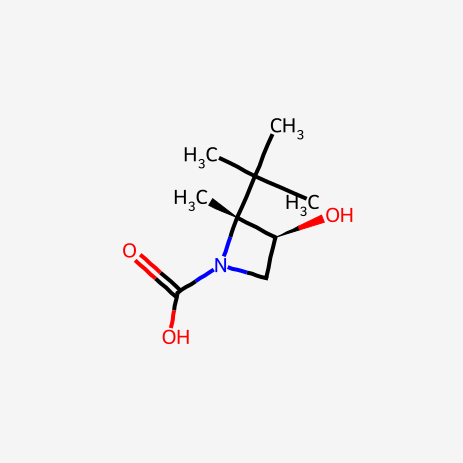 CC(C)(C)[C@]1(C)[C@@H](O)CN1C(=O)O